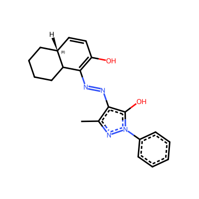 Cc1nn(-c2ccccc2)c(O)c1N=NC1=C(O)C=C[C@H]2CCCCC12